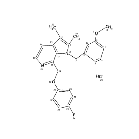 COc1cccc(Cn2c(C)c(C)c3ccnc(COc4ccc(F)cc4)c32)c1.Cl